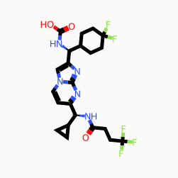 O=C(O)N[C@H](c1cn2ccc([C@@H](NC(=O)CCC(F)(F)F)C3CC3)nc2n1)C1CCC(F)(F)CC1